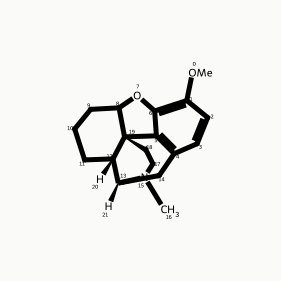 COc1ccc2c3c1OC1CCC[C@H]4[C@@H](C2)N(C)CC[C@]314